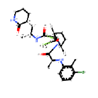 Cc1c(Cl)cccc1N[C@@H](C)C(=O)N1[C@H]2CC[C@@H]([C@@H]1C(=O)N[C@H](C#N)C[C@H]1CCCNC1=O)C(F)(F)C2